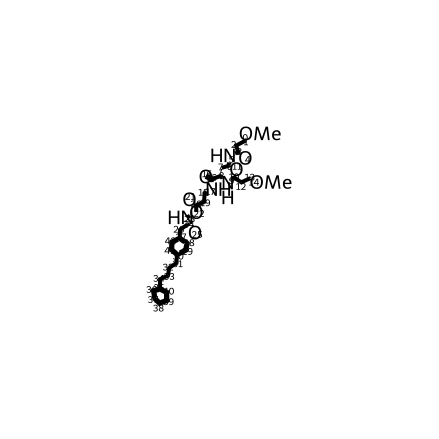 COCCC(=O)NCC[C@H](NC(=O)CCOC)C(=O)NCCC(=O)ONC(=O)Cc1ccc(CCCCc2ccccc2)cc1